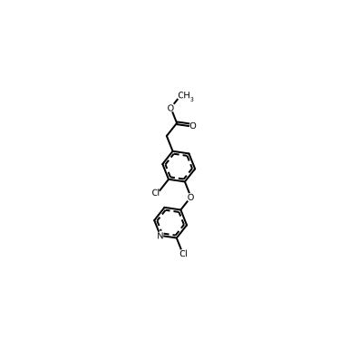 COC(=O)Cc1ccc(Oc2ccnc(Cl)c2)c(Cl)c1